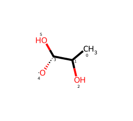 CC(O)[C@H]([O])O